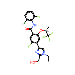 CCn1cc(-c2cc(O[C@@H](C)C(F)(F)F)c(C(=O)Nc3c(F)cccc3Cl)cc2F)nc1CO